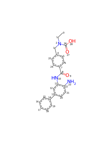 CCN(Cc1ccc(C(=O)Nc2cc(-c3ccccc3)ccc2N)cc1)C(=O)O